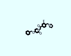 O=C(Cn1ccc(OCc2ccccc2)cc1=O)c1ccc(CN2CCCC2)c(F)c1